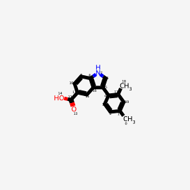 Cc1ccc(-c2c[nH]c3ccc(C(=O)O)cc23)c(C)c1